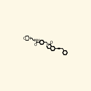 O=C(NCCN1CCOCC1)c1ccc(Cn2ccc3ccc(C#CCc4ccccc4)cc3c2=O)cc1